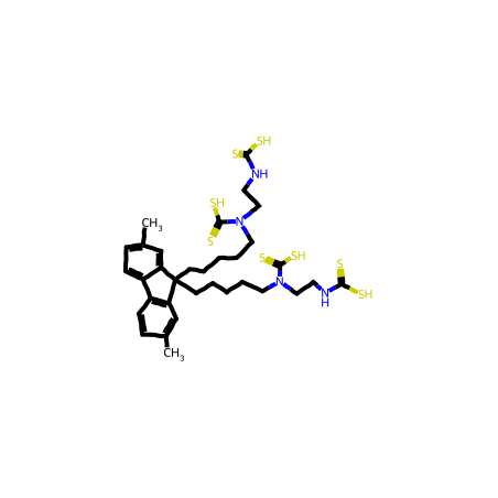 Cc1ccc2c(c1)C(CCCCCN(CCNC(=S)S)C(=S)S)(CCCCCN(CCNC(=S)S)C(=S)S)c1cc(C)ccc1-2